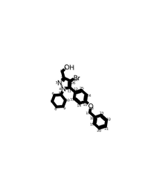 OCc1nn(C2CCCCC2)c(-c2ccc(OCc3ccccc3)cc2)c1Br